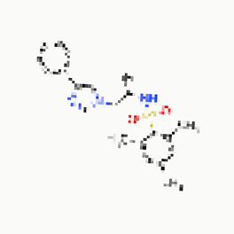 Cc1cc(C)c(S(=O)(=O)NC(Cn2cnc(-c3ccccc3)c2)C(C)C)c(C)c1